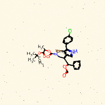 CC(OC(=O)N(C)CC(c1c[nH]c(-c2ccc(Cl)cc2)c1Br)C(OC=O)c1ccccc1)C(=O)OC(C)(C)C